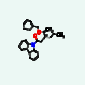 C=C(OCc1ccccc1)[C@H](CCC)CC(=O)n1c2ccccc2c2ccccc21